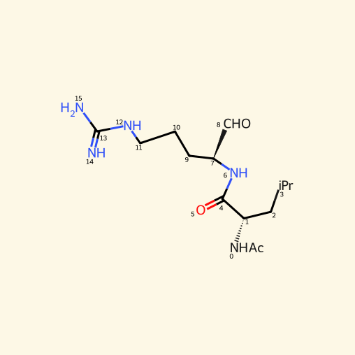 CC(=O)N[C@@H](CC(C)C)C(=O)N[C@H](C=O)CCCNC(=N)N